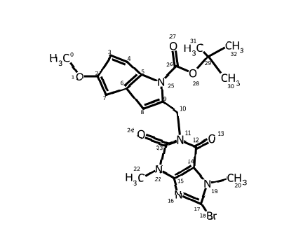 COc1ccc2c(c1)cc(Cn1c(=O)c3c(nc(Br)n3C)n(C)c1=O)n2C(=O)OC(C)(C)C